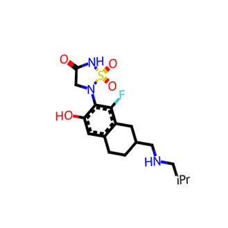 CC(C)CNCC1CCc2cc(O)c(N3CC(=O)NS3(=O)=O)c(F)c2C1